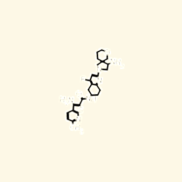 Cc1ccc2c(N)c(C(=O)NC3CCc4nc(N5CC(N)C6(CCCOC6)C5)cc(F)c4C3)sc2n1